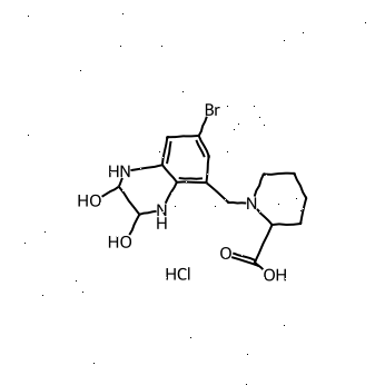 Cl.O=C(O)C1CCCCN1Cc1cc(Br)cc2c1NC(O)C(O)N2